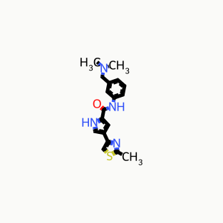 Cc1nc(-c2c[nH]c(C(=O)Nc3cccc(CN(C)C)c3)c2)cs1